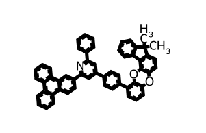 CC1(C)c2ccccc2-c2c1ccc1c2Oc2c(cccc2-c2ccc(-c3cc(-c4ccccc4)nc(-c4ccc5c6ccccc6c6ccccc6c5c4)c3)cc2)O1